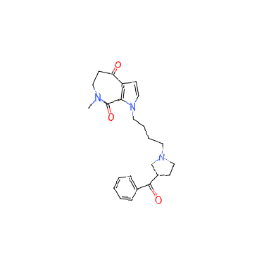 CN1CCC(=O)c2ccn(CCCCN3CCC(C(=O)c4ccccc4)C3)c2C1=O